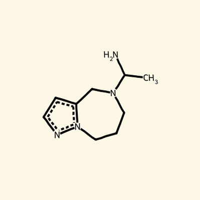 CC(N)N1CCCn2nccc2C1